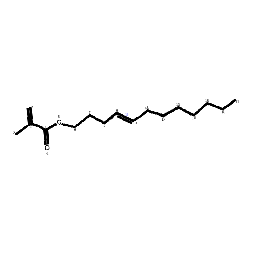 C=C(C)C(=O)OCCC/C=C/CCCCCCC